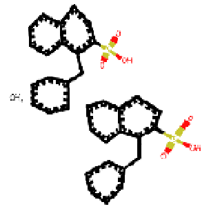 C.O=S(=O)(O)c1ccc2ccccc2c1Cc1ccccc1.O=S(=O)(O)c1ccc2ccccc2c1Cc1ccccc1